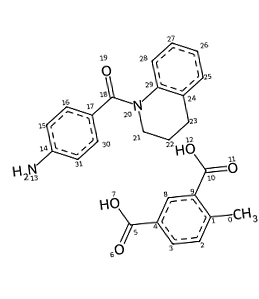 Cc1ccc(C(=O)O)cc1C(=O)O.Nc1ccc(C(=O)N2CCCc3ccccc32)cc1